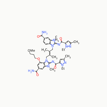 CCn1nc(C)cc1C(=O)/N=c1\n(C)c2cc(C(N)=O)ccc2n1C/C(C)=C(\C)Cn1/c(=N/C(=O)c2cc(C)nn2CC)n(C)c2cc(C(N)=O)cc(OCCCOC)c21